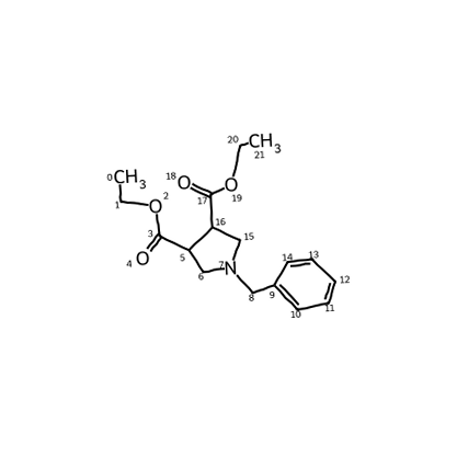 CCOC(=O)C1CN(Cc2ccccc2)CC1C(=O)OCC